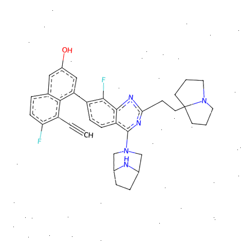 C#Cc1c(F)ccc2cc(O)cc(-c3ccc4c(N5CC6CCC(C5)N6)nc(CCC56CCCN5CCC6)nc4c3F)c12